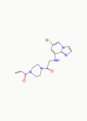 C=CC(=O)N1CCN(C(=O)CNc2cc(Br)cn3ccnc23)CC1